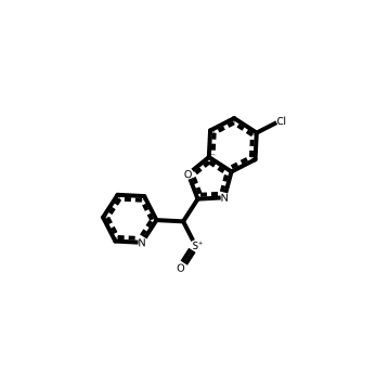 O=[S+]C(c1ccccn1)c1nc2cc(Cl)ccc2o1